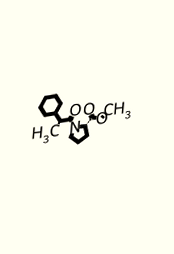 COC(=O)[C@@H]1CCCN1C(=O)[C@@H](C)C1CCCCC1